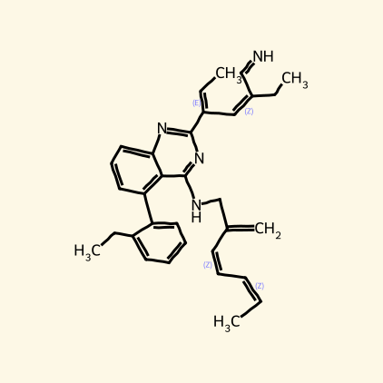 C=C(/C=C\C=C/C)CNc1nc(C(/C=C(\C=N)CC)=C/C)nc2cccc(-c3ccccc3CC)c12